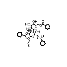 O=C(OC[C@H]1O[C@@H]([C@]2(O)[C@H](O)[C@@H](OC(=O)c3ccccc3)[C@H](OCCBr)O[C@@H]2COC(=O)c2ccccc2)[C@H](O)[C@@H](O)[C@H]1O)c1ccccc1